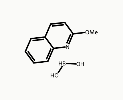 COc1ccc2ccccc2n1.OBO